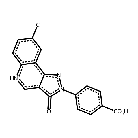 O=C(O)c1ccc(-n2nc3c4cc(Cl)ccc4[nH]cc-3c2=O)cc1